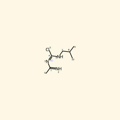 CC(=N)/N=C(/Cl)NCC(C)C